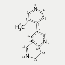 Cc1cnccc1-c1cnc2c(c1)C=NCC2